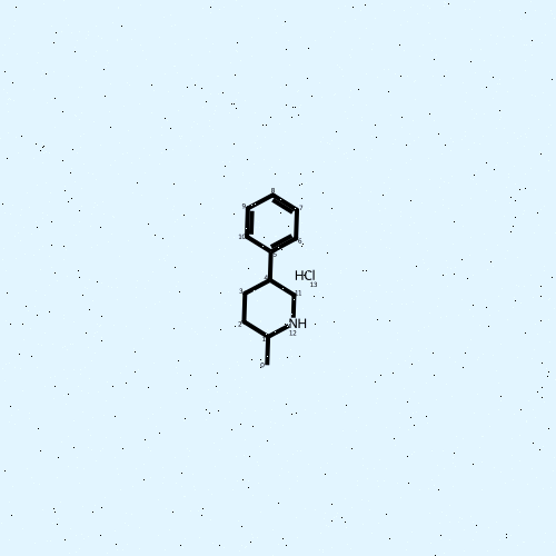 CC1CCC(c2ccccc2)CN1.Cl